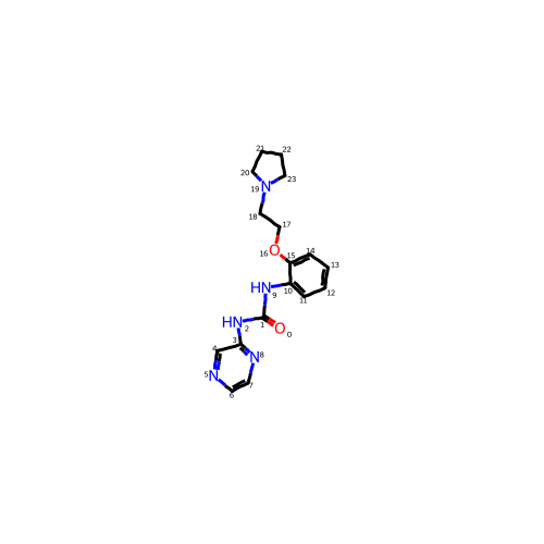 O=C(Nc1cnccn1)Nc1ccccc1OCCN1CCCC1